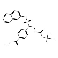 COC(=O)c1ccc(C(CNC(=O)OC(C)(C)C)S(=O)(=O)Nc2ccc3cnccc3c2)cc1